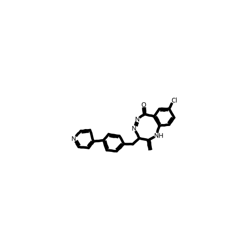 C=C1Nc2ccc(Cl)cc2C(=O)N=NC1Cc1ccc(-c2ccncc2)cc1